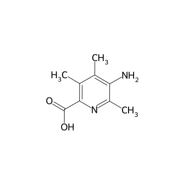 Cc1nc(C(=O)O)c(C)c(C)c1N